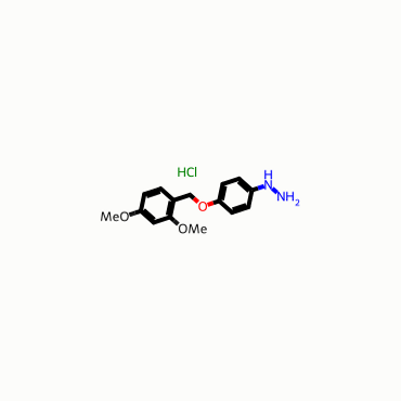 COc1ccc(COc2ccc(NN)cc2)c(OC)c1.Cl